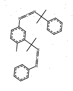 Cc1ccc(N=C=NC(C)(C)c2ccccc2)cc1C(C)(C)N=C=Nc1ccccc1